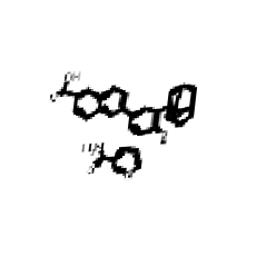 COc1ccc(-c2ccc3cc(C(=O)O)ccc3c2)cc1C12CC3CC(CC(C3)C1)C2.NC(=O)c1cccnc1